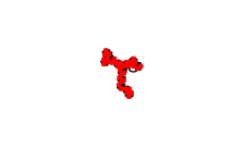 c1ccc(-n2c3ccccc3c3cc(-c4ccc(N(c5ccc(-c6ccc(-c7cccc(-c8ccc9ccccc9c8)c7)cc6)cc5)c5ccc(-c6cccc7c6oc6ccccc67)cc5)cc4)ccc32)cc1